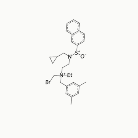 CC[N+](CBr)(CCN(CC1CC1)[S+]([O-])c1ccc2ccccc2c1)Cc1cc(C)cc(C)c1